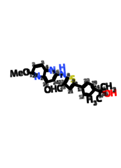 COc1ccc2nc(Nc3sc(-c4ccc(C(C)(C)O)cc4)cc3C=O)ccc2n1